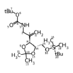 C=C(CNC(=O)OC(C)(C)C)[C@@H]1OC(C)(C)O[C@H]1CO[Si](C)(C)C(C)(C)C